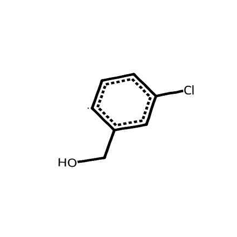 OCc1[c]ccc(Cl)c1